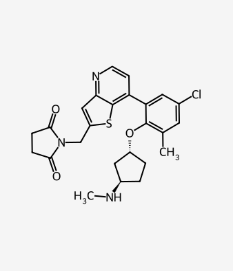 CN[C@@H]1CC[C@@H](Oc2c(C)cc(Cl)cc2-c2ccnc3cc(CN4C(=O)CCC4=O)sc23)C1